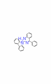 Nc1ccccc1/C(=N\Cn1c2ccccc2c2ccccc21)c1ccccc1